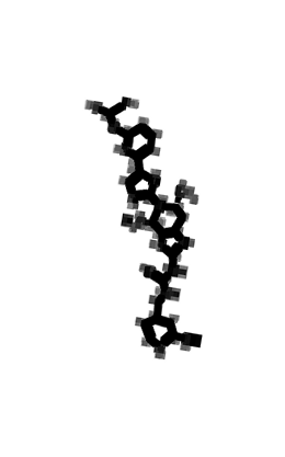 C[C@@H]1Cc2nc(NC(=O)NCc3ccnc(O)c3)sc2[C@H](C)N1c1ncc(-c2cccc(OC(F)F)n2)o1